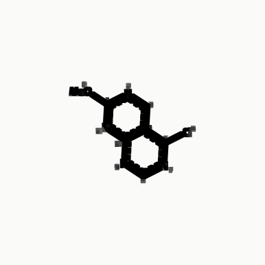 COc1ncc2c(Cl)ncnc2n1